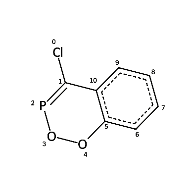 ClC1=POOc2ccccc21